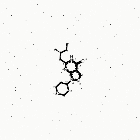 CC[C@H](C)Cc1nc2c(cnn2C2CCOCC2)c(=O)[nH]1